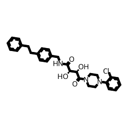 O=C(NCc1ccc(CCc2ccccc2)cc1)[C@H](O)[C@@H](O)C(=O)N1CCN(c2ccccc2Cl)CC1